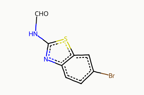 O=CNc1nc2ccc(Br)cc2s1